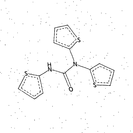 O=C(Nc1cccs1)N(c1cccs1)c1cccs1